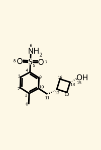 Cc1ccc(S(N)(=O)=O)cc1C[C@H]1C[C@@H](O)C1